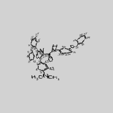 CN(C)c1ccc(-c2oc(-c3ccccc3-c3ccccc3)nc2C(=O)Nc2cccc(OCc3ccccc3)c2)cc1